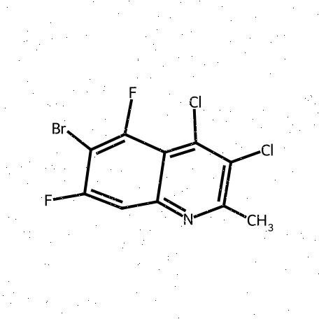 Cc1nc2cc(F)c(Br)c(F)c2c(Cl)c1Cl